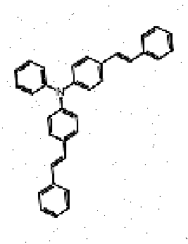 C(=Cc1ccc(N(c2ccccc2)c2ccc(C=Cc3ccccc3)cc2)cc1)c1ccccc1